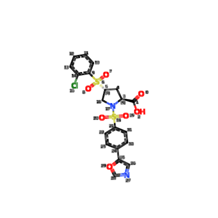 O=C(O)[C@@H]1C[C@@H](S(=O)(=O)c2ccccc2Cl)CN1S(=O)(=O)c1ccc(-c2cnco2)cc1